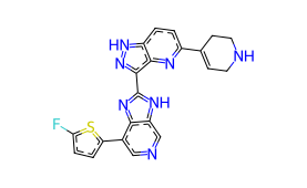 Fc1ccc(-c2cncc3[nH]c(-c4n[nH]c5ccc(C6=CCNCC6)nc45)nc23)s1